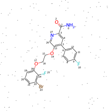 NC(=O)c1cc(-c2ccc(F)cc2)c(OCCOc2cccc(Br)c2F)cn1